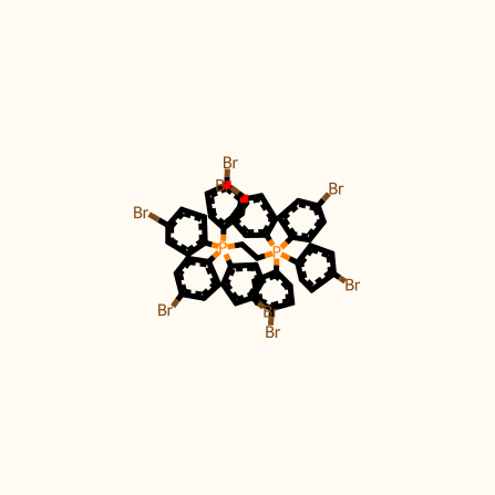 Brc1ccc(P(CCP(c2ccc(Br)cc2)(c2ccc(Br)cc2)(c2ccc(Br)cc2)c2ccc(Br)cc2)(c2ccc(Br)cc2)(c2ccc(Br)cc2)c2ccc(Br)cc2)cc1